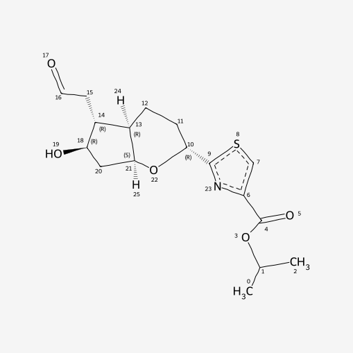 CC(C)OC(=O)c1csc([C@H]2CC[C@@H]3[C@@H](CC=O)[C@H](O)C[C@@H]3O2)n1